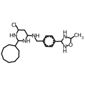 CC1NC(c2ccc(CNC3CC(Cl)NC(C4CCCCCCCC4)N3)cc2)NO1